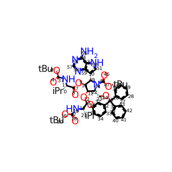 CC(C)[C@H](NC(=O)OC(C)(C)C)C(=O)O[C@@H]1[C@H](OC(=O)[C@@H](NC(=O)OC(C)(C)C)C(C)C)[C@@H](COC(c2ccccc2)(c2ccccc2)c2ccccc2)N(C(=O)OC(C)(C)C)[C@H]1c1c[nH]c2c(N)ncnc12